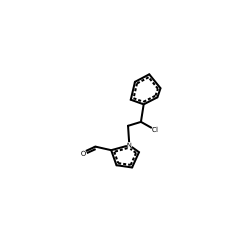 O=[C]c1cccn1CC(Cl)c1ccccc1